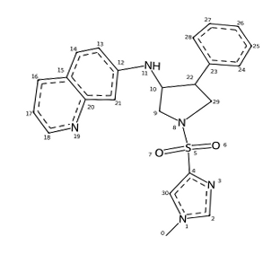 Cn1cnc(S(=O)(=O)N2CC(Nc3ccc4cccnc4c3)C(c3ccccc3)C2)c1